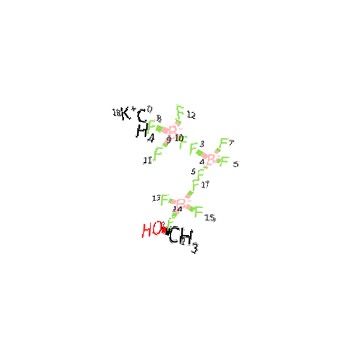 C.CO.F[B-](F)(F)F.F[B-](F)(F)F.F[B-](F)(F)F.[K+]